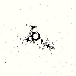 CC(=O)OC1OC[C@H](CO[Si](C)(C)C(C)(C)C)C[C@H]2OC(C)(C)O[C@@H]12